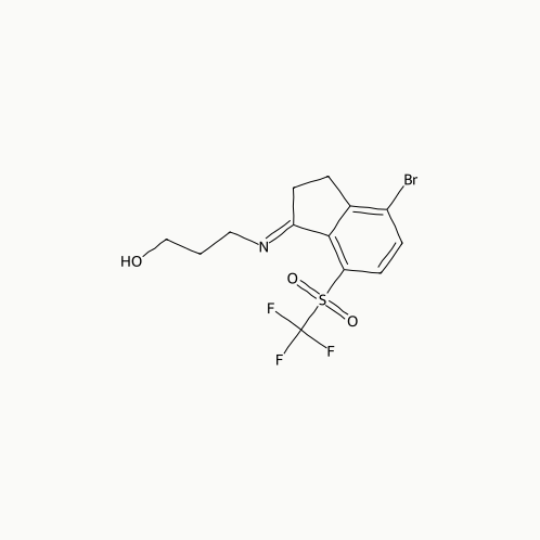 O=S(=O)(c1ccc(Br)c2c1C(=NCCCO)CC2)C(F)(F)F